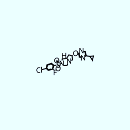 O=S(=O)(c1ccc(Cl)cc1F)N1CCN2C[C@@H](Oc3cnc(C4CC4)cn3)C[C@H]2C1